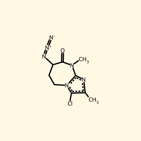 Cc1nc2n(c1Cl)CCC(N=[N+]=[N-])C(=O)N2C